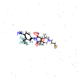 C[C@]12CN(CCCBr)C[C@](C)(O1)C1C(=O)N(c3ccc(C#N)c(C(F)(F)F)c3)C(=O)[C@H]12